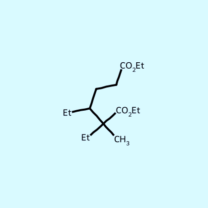 CCOC(=O)CCC(CC)C(C)(CC)C(=O)OCC